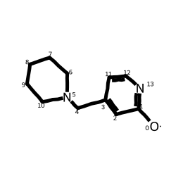 [O]c1cc(CN2CCCCC2)ccn1